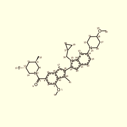 COc1cc(C(=O)N2C[C@H](C)C[C@@H](F)C2)cc2sc(-c3cc4ccc(N5CCC(OC)CC5)nc4n3CC3CC3)c(C)c12